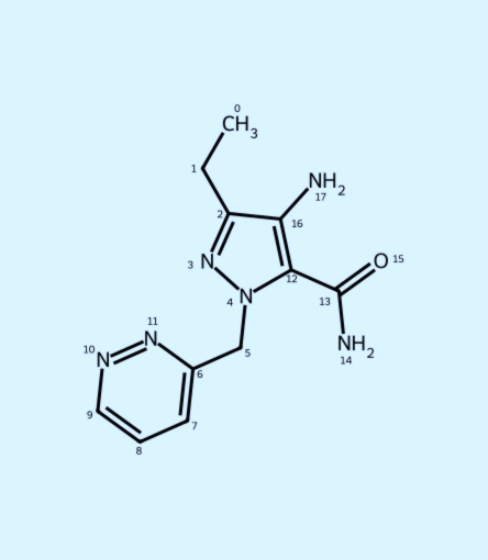 CCc1nn(Cc2cccnn2)c(C(N)=O)c1N